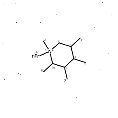 CCC[N+]1(C)CC(C)C(C)C(C)C1C